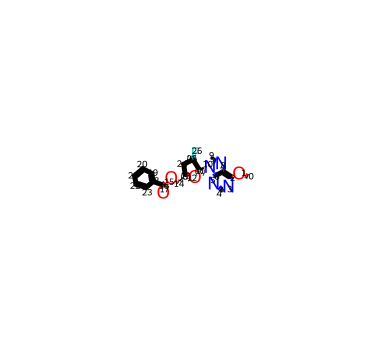 COc1ncnc2c1ncn2[C@@H]1O[C@H](COC(=O)c2ccccc2)C[C@@H]1F